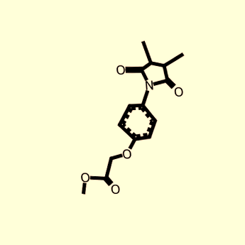 COC(=O)COc1ccc(N2C(=O)C(C)C(C)C2=O)cc1